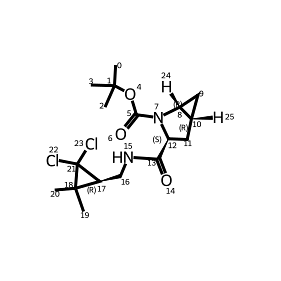 CC(C)(C)OC(=O)N1[C@@H]2C[C@@H]2C[C@H]1C(=O)NC[C@H]1C(C)(C)C1(Cl)Cl